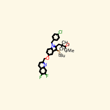 COC(=O)C(C)(C)Cc1c(SC(C)(C)C)c2cc(OCc3ccc4cc(F)c(F)cc4n3)ccc2n1Cc1ccc(Cl)cc1